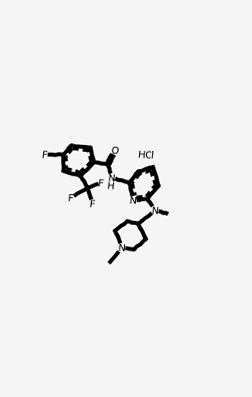 CN1CCC(N(C)c2cccc(NC(=O)c3ccc(F)cc3C(F)(F)F)n2)CC1.Cl